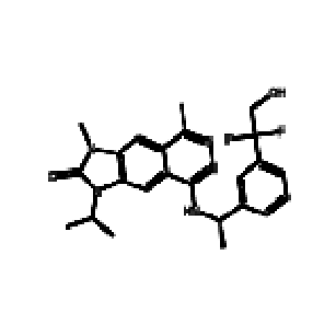 Cc1nnc(N[C@H](C)c2cccc(C(F)(F)CO)c2)c2cc3c(cc12)n(C)c(=O)n3C(C)C